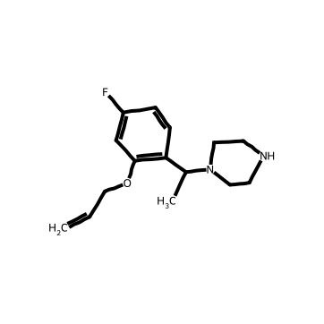 C=CCOc1cc(F)ccc1C(C)N1CCNCC1